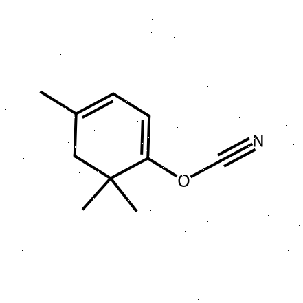 CC1=CC=C(OC#N)C(C)(C)C1